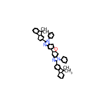 CC1(C)C2=CC(c3nc4cc5c(cc4n3-c3ccccc3)OC3C=c4c(nc(-c6ccc7c(c6)C(C)(C)C6C=CC=CC76)n4-c4ccccc4)=CC53)=CCC2c2ccccc21